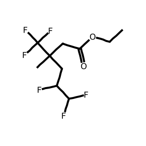 CCOC(=O)CC(C)(CC(F)C(F)F)C(F)(F)F